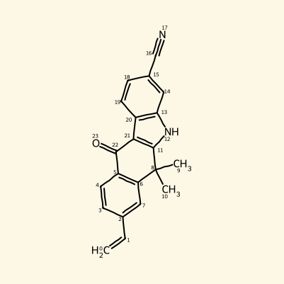 C=Cc1ccc2c(c1)C(C)(C)c1[nH]c3cc(C#N)ccc3c1C2=O